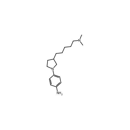 CN(C)CCCCCC1CCN(c2ccc(N)cc2)C1